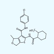 CC1OCc2sc(NC(=O)C3CCCCC3C(=O)O)c(C(=O)Nc3ccc(Cl)cc3)c21